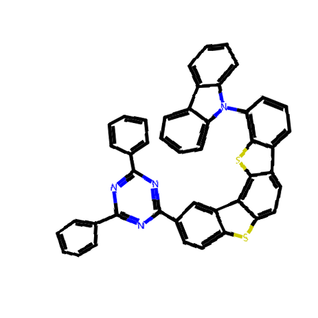 c1ccc(-c2nc(-c3ccccc3)nc(-c3ccc4sc5ccc6c7cccc(-n8c9ccccc9c9ccccc98)c7sc6c5c4c3)n2)cc1